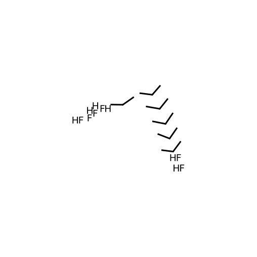 CCC.CCC.CCC.CCC.CCC.CCC.F.F.F.F.F.F